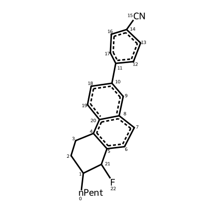 CCCCCC1CCc2c(ccc3cc(-c4ccc(C#N)cc4)ccc23)C1F